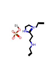 C=CCNCCC1=[N+](CC=C)CCN1.CCOS(=O)(=O)[O-]